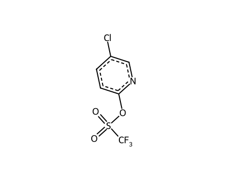 O=S(=O)(Oc1ccc(Cl)cn1)C(F)(F)F